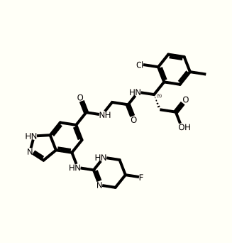 Cc1ccc(Cl)c([C@H](CC(=O)O)NC(=O)CNC(=O)c2cc(NC3=NCC(F)CN3)c3cn[nH]c3c2)c1